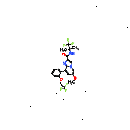 COc1cc(-c2ccccc2OCC(F)(F)F)c2nc(C(=O)NC(C)(C)C(F)(F)F)cn2c1